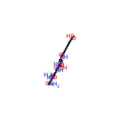 CC(=O)[C@@H](N)CCCCNC(=O)[C@@H](N)CCCCNC(=O)CC[C@H](NC(=O)[C@H]1CC[C@H](CNC(=O)CCCCCCCCCCCCCCCCC(=O)O)CC1)C(=O)O